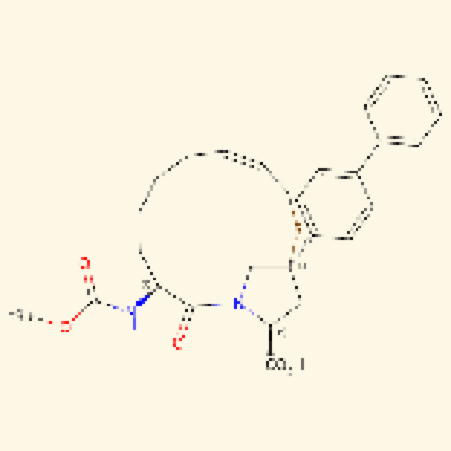 CC(C)(C)OC(=O)N[C@H]1CCCCC=CCS[C@@]2(c3ccc(-c4ccccc4)cc3)C[C@@H](C(=O)O)N(C2)C1=O